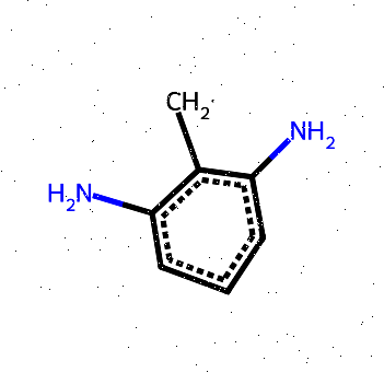 [CH2]c1c(N)cccc1N